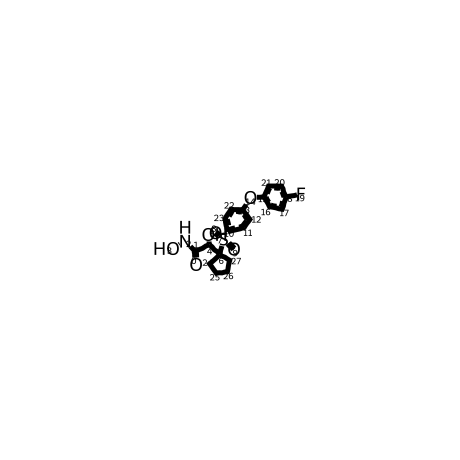 O=C(NO)C(O)C1(S(=O)(=O)c2ccc(Oc3ccc(F)cc3)cc2)CCCC1